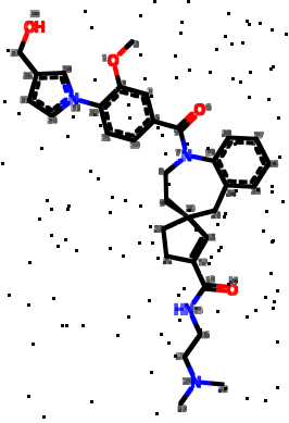 COc1cc(C(=O)N2CC[C@]3(C=C(C(=O)NCCN(C)C)CC3)Cc3ccccc32)ccc1-n1ccc(CO)c1